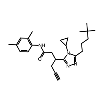 C#CCC(CC(=O)Nc1ccc(C)cc1C)c1nnc(CCCC(C)(C)C)n1C1CC1